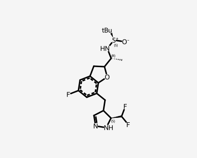 C[C@@H](N[S@+]([O-])C(C)(C)C)C1Cc2cc(F)cc(CC3C=NN[C@@H]3C(F)F)c2O1